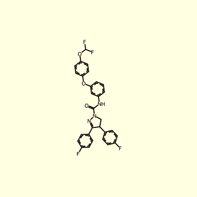 O=C(Nc1cccc(Oc2ccc(OC(F)F)cc2)c1)N1CC(c2ccc(F)cc2)C(c2ccc(F)cc2)=N1